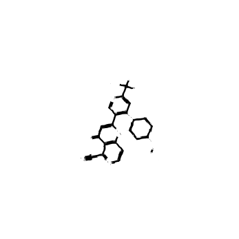 CO[C@H]1CC[C@@H](c2cc(C(C)(C)C)ncc2-c2cc(=O)c3c(C#N)nccc3[nH]2)CC1